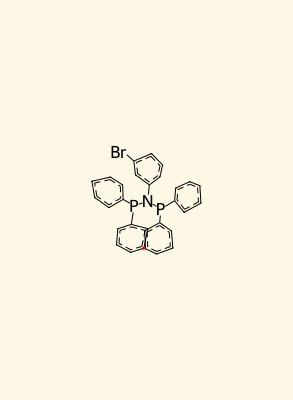 Brc1cccc(N(P(c2ccccc2)c2ccccc2)P(c2ccccc2)c2ccccc2)c1